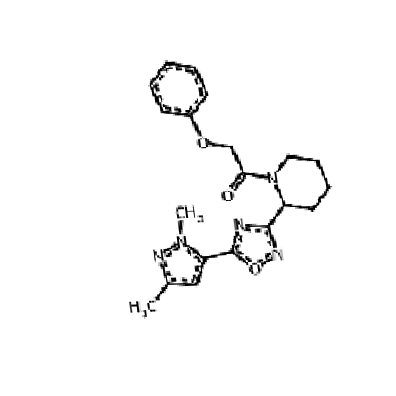 Cc1cc(-c2nc(C3CCCCN3C(=O)COc3ccccc3)no2)n(C)n1